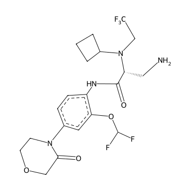 NC[C@H](C(=O)Nc1ccc(N2CCOCC2=O)cc1OC(F)F)N(CC(F)(F)F)C1CCC1